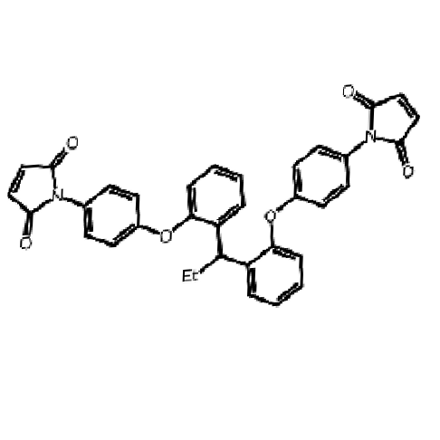 CCC(c1ccccc1Oc1ccc(N2C(=O)C=CC2=O)cc1)c1ccccc1Oc1ccc(N2C(=O)C=CC2=O)cc1